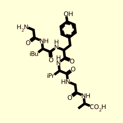 CCC(C)C(NC(=O)CN)C(=O)NC(Cc1ccc(O)cc1)C(=O)NC(C(=O)NCC(=O)NC(C)C(=O)O)C(C)C